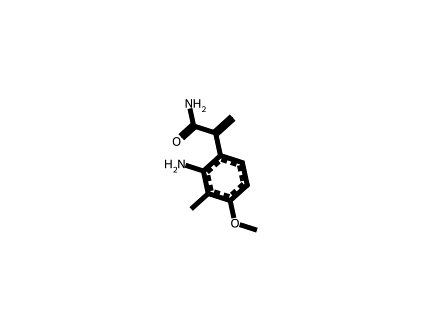 C=C(C(N)=O)c1ccc(OC)c(C)c1N